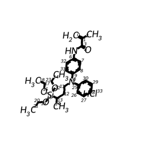 C=C(C)C(=O)Nc1ccc(N(CCC(C)[Si](OCC)(OCC)OCC)c2ccccc2)cc1.Cl